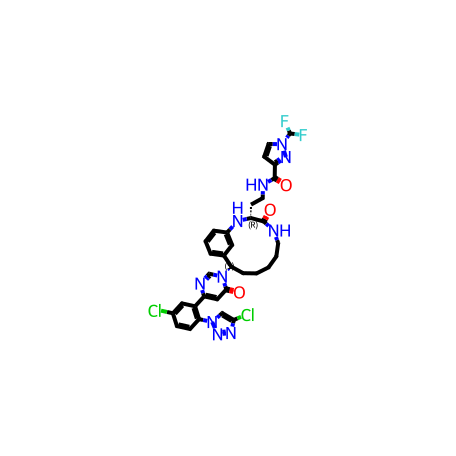 O=C(NCC[C@H]1Nc2cccc(c2)[C@@H](n2cnc(-c3cc(Cl)ccc3-n3cc(Cl)nn3)cc2=O)CCCCCNC1=O)c1ccn(C(F)F)n1